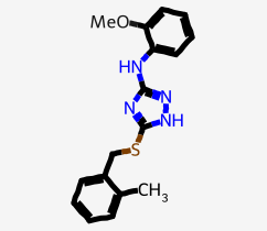 COc1ccccc1Nc1n[nH]c(SCc2ccccc2C)n1